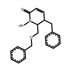 CCCN1C(=O)C=CC(Cc2ccccc2)C1COCc1ccccc1